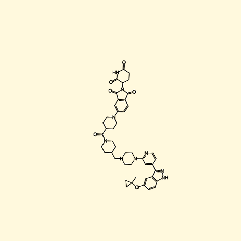 CC1(Oc2ccc3[nH]nc(-c4ccnc(N5CCN(CC6CCN(C(=O)C7CCN(c8ccc9c(c8)C(=O)N(C8CCC(=O)NC8=O)C9=O)CC7)CC6)CC5)c4)c3c2)CC1